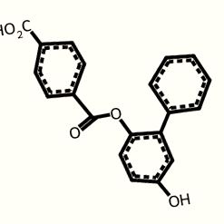 O=C(O)c1ccc(C(=O)Oc2ccc(O)cc2-c2ccccc2)cc1